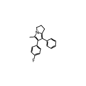 Cc1c(-c2ccc(F)cc2)c(-c2ccccc2)c2n1CCC2